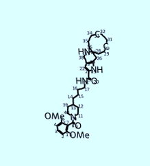 COc1cccc(OC)c1C(=O)N1CCC(CCCCNC(=O)c2cc3c([nH]2)CC2(CCCCCCCCC2)NC3)CC1